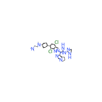 CN(C)CCN(C)c1ccc(-c2cc(Cl)c3cn(C(C(=N)Nc4ncc[nH]4)c4ncn5c4CCC5)nc3c2Cl)cc1